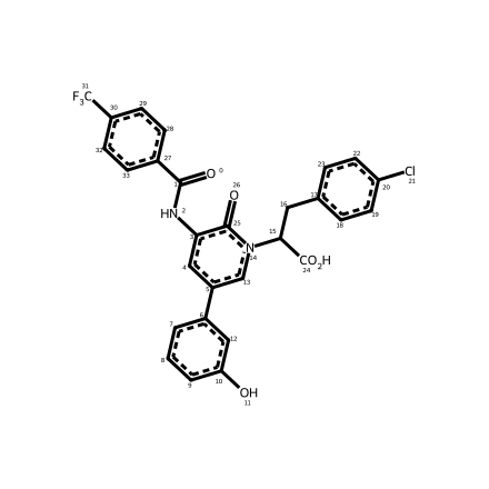 O=C(Nc1cc(-c2cccc(O)c2)cn(C(Cc2ccc(Cl)cc2)C(=O)O)c1=O)c1ccc(C(F)(F)F)cc1